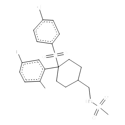 CS(=O)(=O)NCC1CCC(c2cc(F)ccc2F)(S(=O)(=O)c2ccc(Cl)cc2)CC1